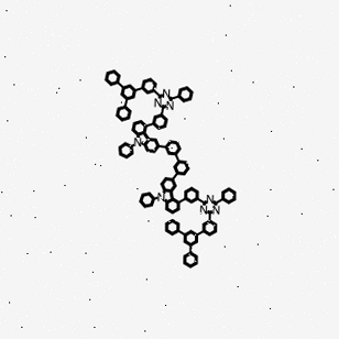 c1ccc(-c2cc(-c3ccccc3)cc(-c3cccc(-c4nc(-c5ccccc5)nc(-c5cccc(-c6cccc7c6c6cc(-c8cccc(-c9cccc(-c%10ccc%11c(c%10)c%10c(-c%12cccc(-c%13nc(-c%14ccccc%14)nc(-c%14cccc(-c%15cc(-c%16ccccc%16)cc(-c%16ccccc%16)c%15)c%14)n%13)c%12)cccc%10n%11-c%10ccccc%10)c9)c8)ccc6n7-c6ccccc6)c5)n4)c3)c2)cc1